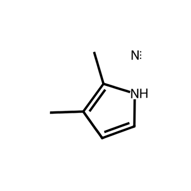 Cc1cc[nH]c1C.[N]